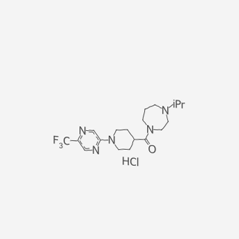 CC(C)N1CCCN(C(=O)C2CCN(c3cnc(C(F)(F)F)cn3)CC2)CC1.Cl